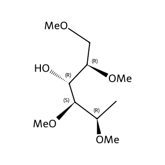 COC[C@@H](OC)[C@@H](O)[C@H](OC)[C@@H](C)OC